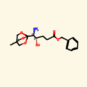 CC12COC([C@@H](N)[C@@H](O)CCC(=O)OCc3ccccc3)(OC1)OC2